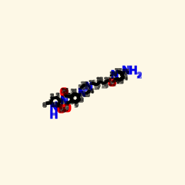 C=C1CCC(N2C(=O)c3ccc(N4CCN(CCCCCOc5ccc(N)cn5)CC4)cc3C2=O)C(=O)N1